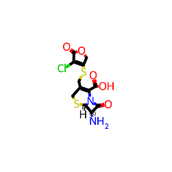 N[C@@H]1C(=O)N2C(C(=O)O)=C(CSC3=C(Cl)C(=O)OC3)CS[C@H]12